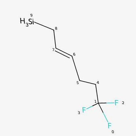 FC(F)(F)CCC=CC[SiH3]